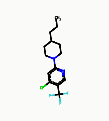 CCCC1CCN(c2cc(Cl)c(C(F)(F)F)cn2)CC1